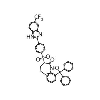 O=C1C(S(=O)(=O)c2ccc(-c3nc4cc(C(F)(F)F)ccc4[nH]3)cc2)CCCCN1OC(c1ccccc1)(c1ccccc1)c1ccccc1